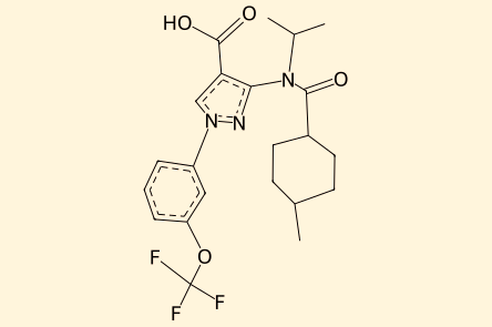 CC1CCC(C(=O)N(c2nn(-c3cccc(OC(F)(F)F)c3)cc2C(=O)O)C(C)C)CC1